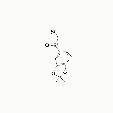 CC1(C)Oc2ccc([S+]([O-])CBr)cc2O1